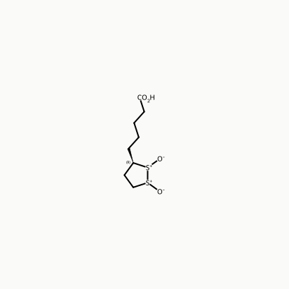 O=C(O)CCCC[C@@H]1CC[S+]([O-])[S+]1[O-]